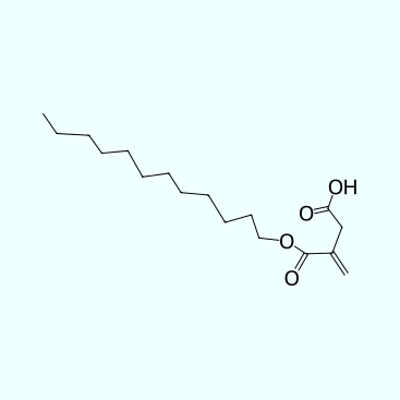 C=C(CC(=O)O)C(=O)OCCCCCCCCCCCC